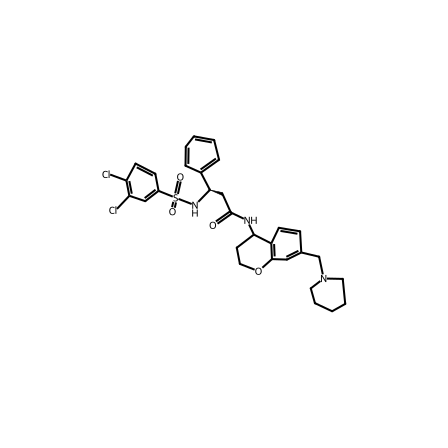 O=C(C[C@@H](NS(=O)(=O)c1ccc(Cl)c(Cl)c1)c1ccccc1)NC1CCOc2cc(CN3CCCCC3)ccc21